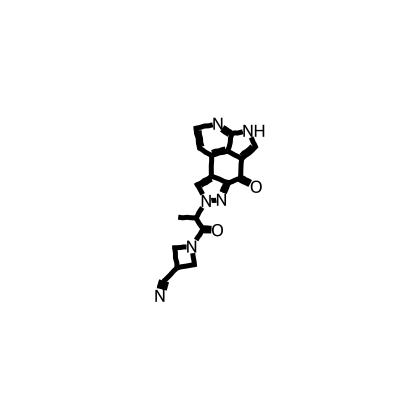 CC(C(=O)N1CC(C#N)C1)n1cc2c(n1)C(=O)c1c[nH]c3nccc-2c13